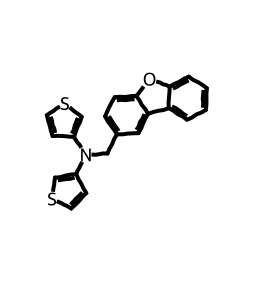 c1ccc2c(c1)oc1ccc(CN(c3ccsc3)c3ccsc3)cc12